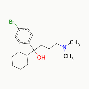 CN(C)CCCC(O)(c1ccc(Br)cc1)C1CCCCC1